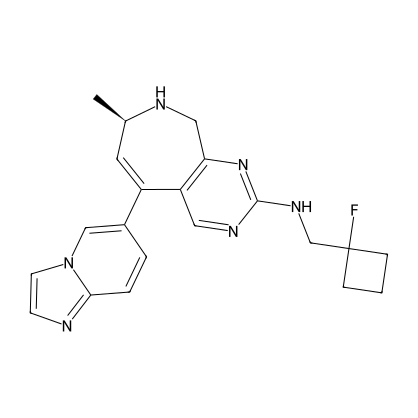 C[C@@H]1C=C(c2ccc3nccn3c2)c2cnc(NCC3(F)CCC3)nc2CN1